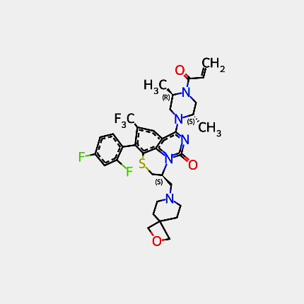 C=CC(=O)N1C[C@H](C)N(c2nc(=O)n3c4c(c(-c5ccc(F)cc5F)c(C(F)(F)F)cc24)SC[C@@H]3CN2CCC3(CC2)COC3)C[C@H]1C